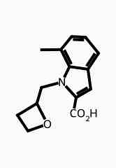 Cc1cccc2cc(C(=O)O)n(CC3CCO3)c12